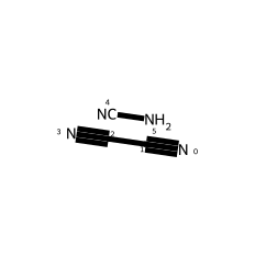 N#CC#N.N#CN